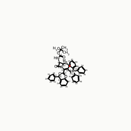 CC(C)(C)OC(=O)N[C@@H]1C(=O)N2C(C(=O)OC(c3ccccc3)c3ccccc3)=C(C[PH](c3ccccc3)(c3ccccc3)c3ccccc3)CS[C@H]12